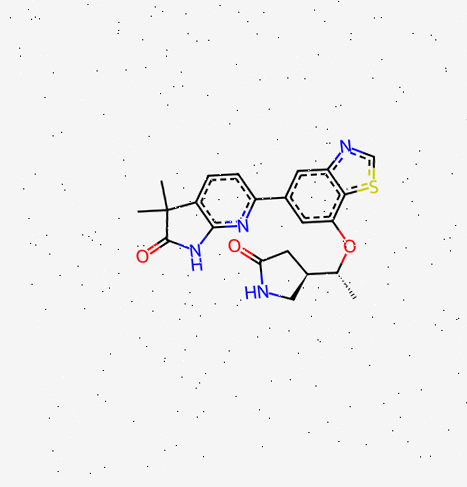 C[C@@H](Oc1cc(-c2ccc3c(n2)NC(=O)C3(C)C)cc2ncsc12)[C@H]1CNC(=O)C1